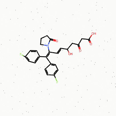 O=C(O)CC(=O)CC(O)/C=C/C(=C(c1ccc(F)cc1)c1ccc(F)cc1)N1CCCC1=O